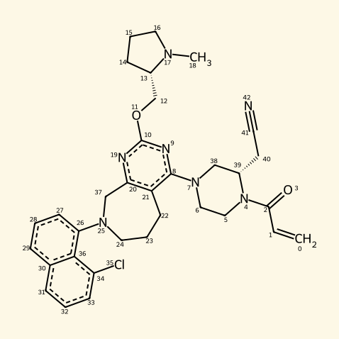 C=CC(=O)N1CCN(c2nc(OC[C@@H]3CCCN3C)nc3c2CCCN(c2cccc4cccc(Cl)c24)C3)C[C@@H]1CC#N